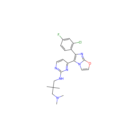 CN(C)CC(C)(C)CNc1nccc(-c2c(-c3ccc(F)cc3Cl)nc3occn23)n1